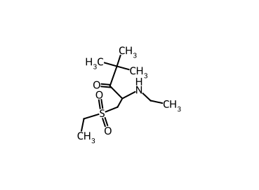 CCNC(CS(=O)(=O)CC)C(=O)C(C)(C)C